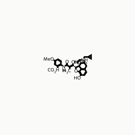 COc1ccc(NC(=O)/C(C)=C(\O)[C@@H]2Oc3c(O)ccc4c3[C@@]23CCN(CC2CC2)[C@H](C4)[C@@]3(C)O)c(C(=O)O)c1